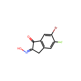 O=C1/C(=N\O)Cc2cc(F)c(Br)cc21